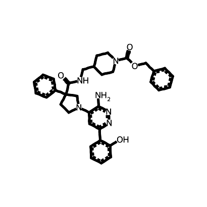 Nc1nnc(-c2ccccc2O)cc1N1CCC(C(=O)NCC2CCN(C(=O)OCc3ccccc3)CC2)(c2ccccc2)C1